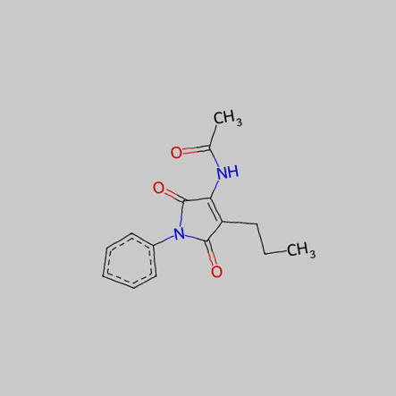 CCCC1=C(NC(C)=O)C(=O)N(c2ccccc2)C1=O